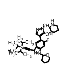 CC(C)[Si](C#Cc1nn(C2CCCCO2)c2cc(F)c(-c3cnn(C)c3O[C@@H]3CCCNC3)cc12)(C(C)C)C(C)C